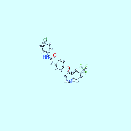 O=C(C[C@H]1CC[C@@H](Oc2ccnc3ccc(C(F)(F)F)cc23)CC1)Nc1ccc(Cl)cc1